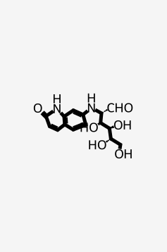 O=C[C@@H](Nc1ccc2ccc(=O)[nH]c2c1)[C@H](O)[C@@H](O)[C@@H](O)CO